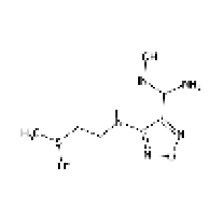 C[S+]([O-])CCNc1nonc1C(N)NO